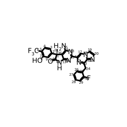 C[C@]1(c2ccc(C(F)(F)F)c(O)c2)C(=O)Nc2nc(-c3cn4ccnc4c(Cc4ccccc4F)n3)nc(N)c21